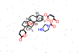 C[C@@]12CC[C@@H](OC(=O)/C=C\C(=O)OC(=O)N3CCNCC3)C[C@H]1CC[C@@H]1[C@H]2CC[C@]2(C)[C@@H](c3ccc(=O)oc3)CC[C@@]12O